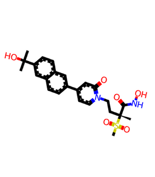 CC(C)(O)c1ccc2cc(-c3ccn(CC[C@](C)(C(=O)NO)S(C)(=O)=O)c(=O)c3)ccc2c1